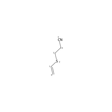 C=CSC[CH]C#N